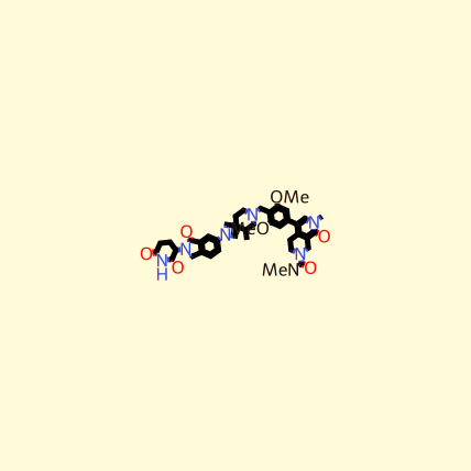 CNC(=O)N1CCc2c(-c3cc(OC)c(CN4CCC5(CN(c6ccc7c(c6)C(=O)N(C6CCC(=O)NC6=O)C7)C5)C(C)C4)c(OC)c3)cn(C)c(=O)c2C1